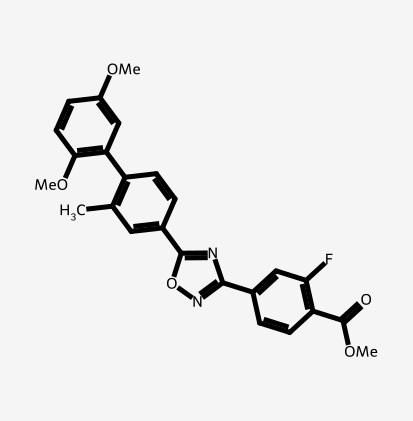 COC(=O)c1ccc(-c2noc(-c3ccc(-c4cc(OC)ccc4OC)c(C)c3)n2)cc1F